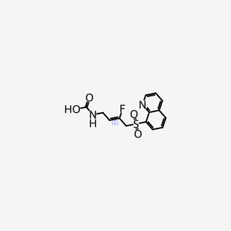 O=C(O)NC/C=C(\F)CS(=O)(=O)c1cccc2cccnc12